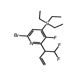 C=C[C](c1nc(Br)cc([Si](CC)(CC)CC)c1F)C(F)F